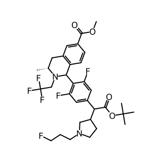 COC(=O)c1ccc2c(c1)C[C@@H](C)N(CC(F)(F)F)C2c1c(F)cc(C(C(=O)OC(C)(C)C)C2CCN(CCCF)C2)cc1F